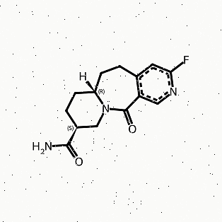 NC(=O)[C@H]1CC[C@@H]2CCc3cc(F)ncc3C(=O)N2C1